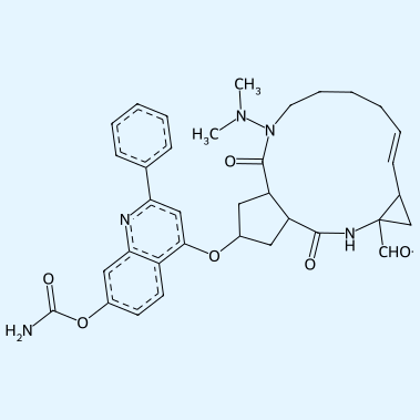 CN(C)N1CCCC/C=C/C2CC2([C]=O)NC(=O)C2CC(Oc3cc(-c4ccccc4)nc4cc(OC(N)=O)ccc34)CC2C1=O